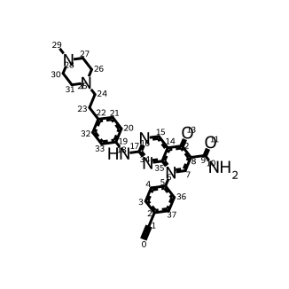 C#Cc1ccc(-n2cc(C(N)=O)c(=O)c3cnc(Nc4ccc(CCN5CCN(C)CC5)cc4)nc32)cc1